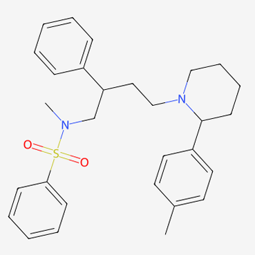 Cc1ccc(C2CCCCN2CCC(CN(C)S(=O)(=O)c2ccccc2)c2ccccc2)cc1